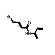 C=CC(=C)NC(=O)/C=C/CBr